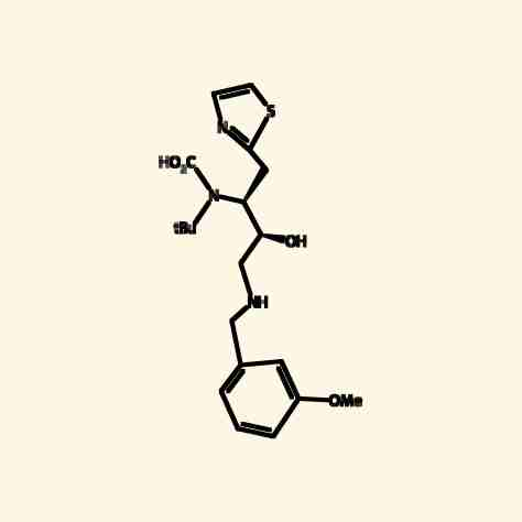 COc1cccc(CNC[C@H](O)[C@H](Cc2nccs2)N(C(=O)O)C(C)(C)C)c1